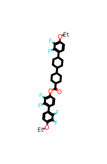 CCOc1ccc(-c2ccc(OC(=O)C3CCC(C4CCC(c5ccc(OCC)c(F)c5F)CC4)CC3)c(F)c2F)c(F)c1F